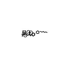 C=C(C)C(=O)OCCC(=Cc1ccc([C@H]2CC[C@H](CCCCCC)CC2)cc1)C(=O)O